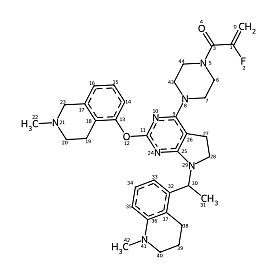 C=C(F)C(=O)N1CCN(c2nc(Oc3cccc4c3CCN(C)C4)nc3c2CCN3C(C)c2cccc3c2CCCN3C)CC1